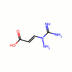 N=C(N)N(N)C=CC(=O)O